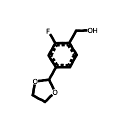 OCc1ccc(C2OCCO2)cc1F